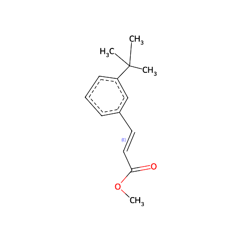 COC(=O)/C=C/c1cccc(C(C)(C)C)c1